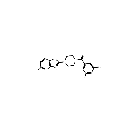 Cc1ccc2oc(N3CCN(C(=O)c4cc(O)cc(Br)c4)CC3)nc2n1